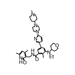 CCN(c1cc(-c2ccc(N3CCN(C4CCN(C)CC4)CC3)nc2)cc(C(=O)NCc2c(C)cc(C)[nH]c2=O)c1C)C1CCOCC1